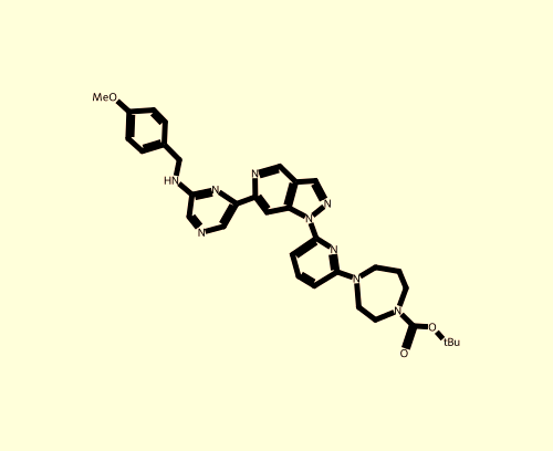 COc1ccc(CNc2cncc(-c3cc4c(cn3)cnn4-c3cccc(N4CCCN(C(=O)OC(C)(C)C)CC4)n3)n2)cc1